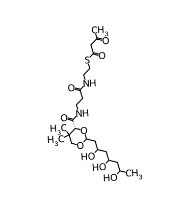 CC(=O)CC(=O)SCCNC(=O)CCNC(=O)[C@@H]1OC(CC(O)CC(O)CC(C)O)OCC1(C)C